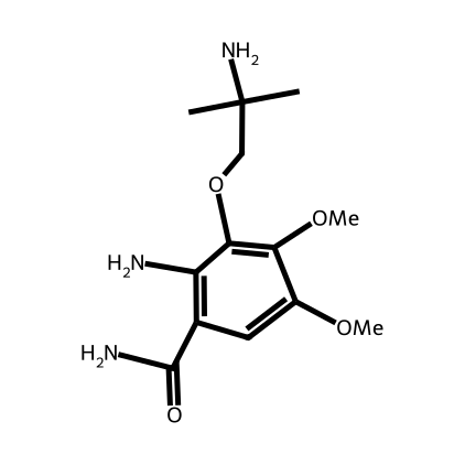 COc1cc(C(N)=O)c(N)c(OCC(C)(C)N)c1OC